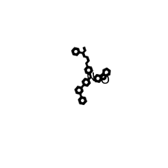 C=C/C(=C\C=C/Cc1ccc(N(c2ccc(-c3cccc(-c4ccccc4)c3)cc2)c2ccc3oc4ccccc4c3c2)cc1)c1ccccc1